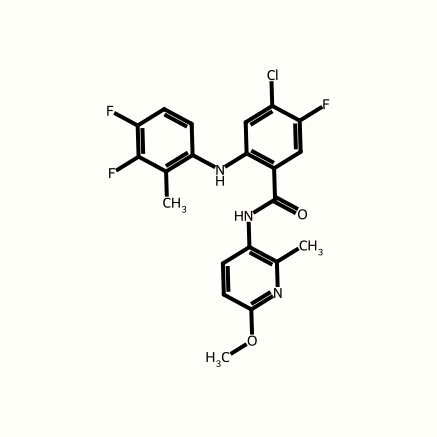 COc1ccc(NC(=O)c2cc(F)c(Cl)cc2Nc2ccc(F)c(F)c2C)c(C)n1